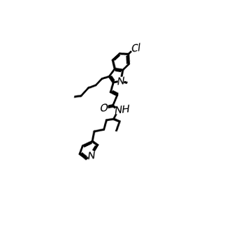 CCCCCc1c(/C=C/C(=O)NC(CC)CCCc2cccnc2)n(C)c2cc(Cl)ccc12